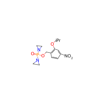 CC(C)Oc1cc([N+](=O)[O-])ccc1COP(=O)(N1CC1)N1CC1